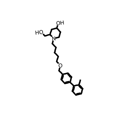 Cc1ccccc1-c1ccc(COCCCCCN2CCC(O)CC2CO)cc1